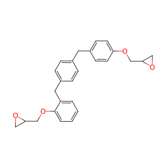 c1ccc(OCC2CO2)c(Cc2ccc(Cc3ccc(OCC4CO4)cc3)cc2)c1